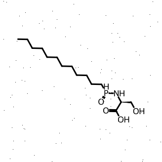 CCCCCCCCCCCC[PH](=O)N[C@@H](CO)C(=O)O